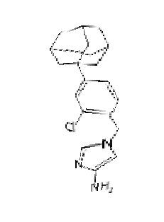 Nc1cn(Cc2ccc(C34CC5CC(CC(C5)C3)C4)cc2Cl)cn1